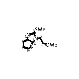 COCCn1c(SC)nc2cccnc21